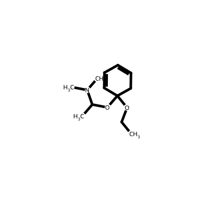 CCOC1(OC(C)N(C)C)C=CC=CC1